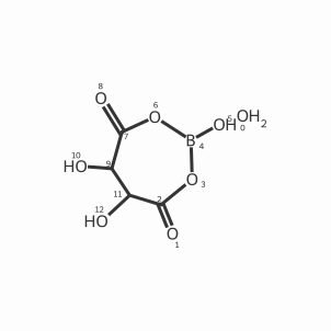 O.O=C1OB(O)OC(=O)C(O)C1O